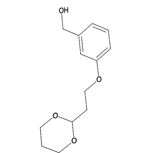 OCc1cccc(OCCC2OCCCO2)c1